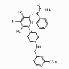 CCc1c(C#N)c(SC(C(N)=O)c2ccccc2)nc(N2CCC(NCc3cccc(OC)n3)CC2)c1C#N